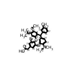 COc1cc(C(c2ccc(N(C)C)cc2)c2cccc(C)c2)c(Oc2c(Br)cc(CC(=O)O)cc2Br)cc1C(C)C